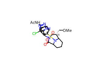 COC[C@H]1CN(Cc2cnn[nH]2)C(=O)C2CCCC1N2S(=O)(=O)c1ccc(NC(C)=O)c(Cl)c1